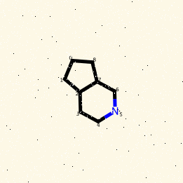 C1CC2CC[N]CC2C1